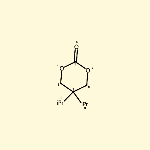 CC(C)C1(C(C)C)COC(=O)OC1